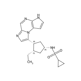 CC[C@H]1C[C@@H](NS(=O)(=O)C2CC2)C[C@H]1c1cnc2cnc3[nH]ccc3n12